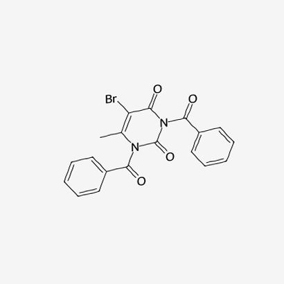 Cc1c(Br)c(=O)n(C(=O)c2ccccc2)c(=O)n1C(=O)c1ccccc1